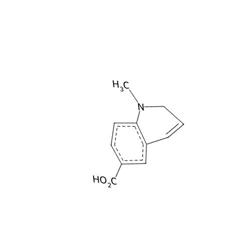 CN1CC=Cc2cc(C(=O)O)ccc21